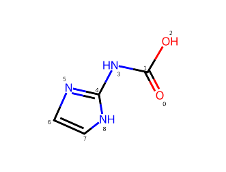 O=C(O)Nc1ncc[nH]1